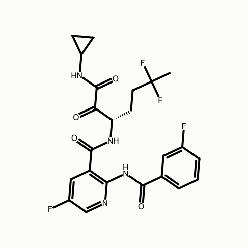 CC(F)(F)CC[C@H](NC(=O)c1cc(F)cnc1NC(=O)c1cccc(F)c1)C(=O)C(=O)NC1CC1